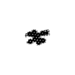 Cc1ccc(-c2ccc3c(-c4cc5ccccc5c5ccccc45)c4cc(-c5ccc(OC(F)(F)F)cc5)ccc4c(-c4cc5cc(F)ccc5c5ccccc45)c3c2)cc1